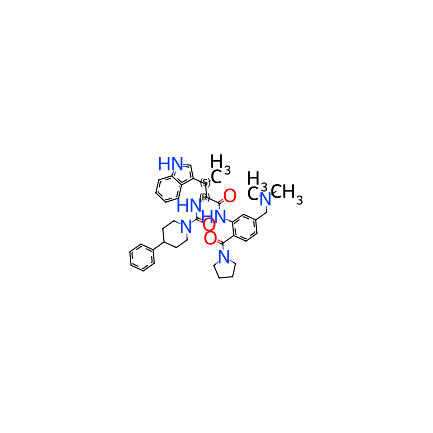 C[C@@H](c1c[nH]c2ccccc12)[C@@H](NC(=O)N1CCC(c2ccccc2)CC1)C(=O)Nc1cc(CN(C)C)ccc1C(=O)N1CCCC1